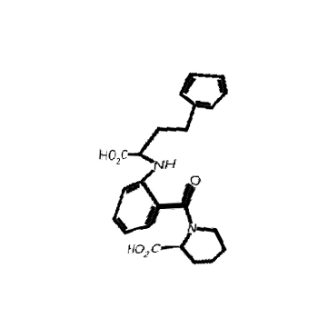 O=C(O)C(CCc1ccccc1)Nc1ccccc1C(=O)N1CCC[C@H]1C(=O)O